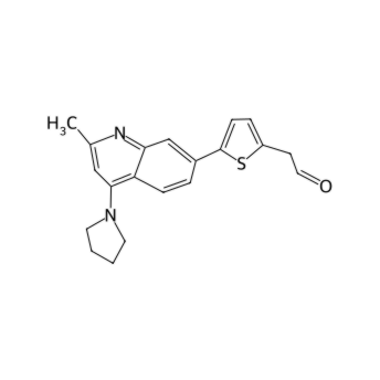 Cc1cc(N2CCCC2)c2ccc(-c3ccc(CC=O)s3)cc2n1